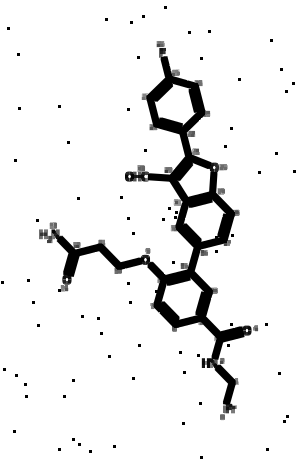 CC(C)CNC(=O)c1ccc(OCCC(N)=O)c(-c2ccc3oc(-c4ccc(F)cc4)c(C=O)c3c2)c1